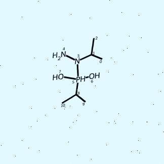 CC(C)N(N)[PH](O)(O)C(C)C